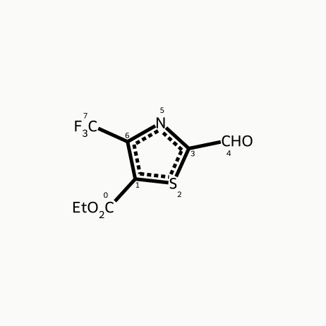 CCOC(=O)c1sc(C=O)nc1C(F)(F)F